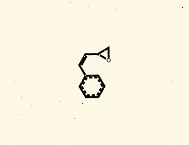 C(=C/C1CO1)/c1ccccc1